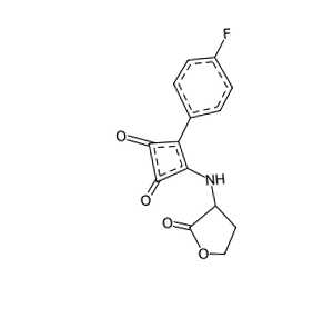 O=C1OCCC1Nc1c(-c2ccc(F)cc2)c(=O)c1=O